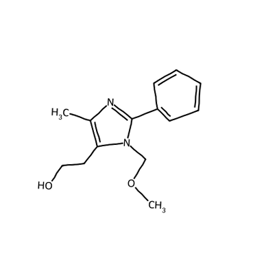 COCn1c(-c2ccccc2)nc(C)c1CCO